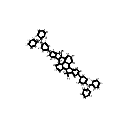 Cn1c2cc(-c3ccc(N(c4ccccc4)c4ccccc4)cc3)ccc2c2c3cccc4c5c(c6cccc(c6c43)c21)-c1ccc(-c2ccc(N(c3ccccc3)c3ccccc3)cc2)cc1C5(C)C